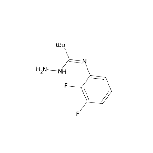 CC(C)(C)/C(=N/c1cccc(F)c1F)NN